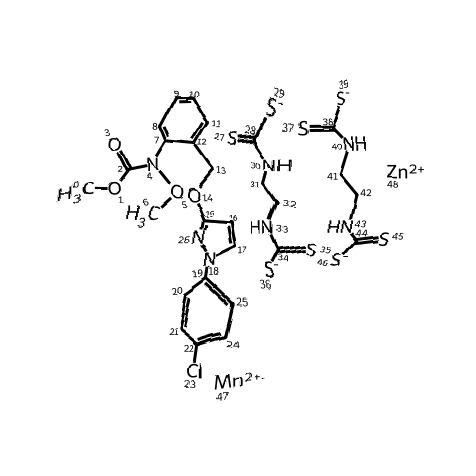 COC(=O)N(OC)c1ccccc1COc1ccn(-c2ccc(Cl)cc2)n1.S=C([S-])NCCNC(=S)[S-].S=C([S-])NCCNC(=S)[S-].[Mn+2].[Zn+2]